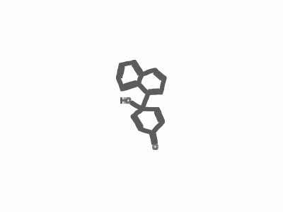 O=C1C=CC(O)(c2cccc3ccccc23)C=C1